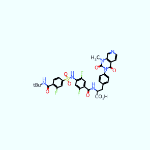 Cn1c(=O)n(-c2ccc(C[C@H](NC(=O)c3cc(F)c(NS(=O)(=O)c4ccc(C(=O)NC(C)(C)C)c(F)c4)cc3F)C(=O)O)cc2)c(=O)c2ccncc21